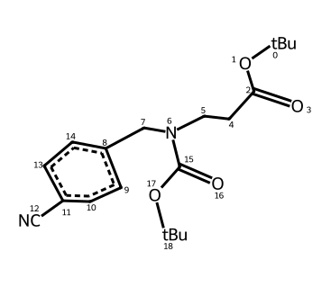 CC(C)(C)OC(=O)CCN(Cc1ccc(C#N)cc1)C(=O)OC(C)(C)C